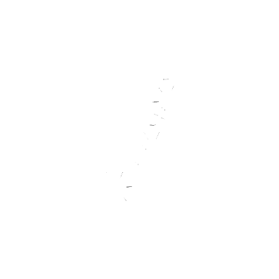 CC1(C)CCC(CN2CCN(c3ccc(S(=O)(=O)NC(=O)c4ccc(Br)cn4)cc3)CC2)=C(c2ccc(Cl)cc2)C1